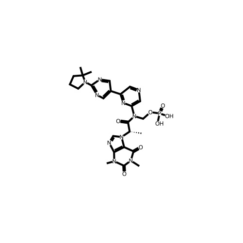 C[C@@H](C(=O)N(COP(=O)(O)O)c1cncc(-c2cnc(N3CCCC3(C)C)nc2)n1)n1cnc2c1c(=O)n(C)c(=O)n2C